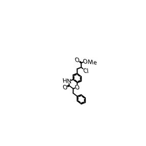 COC(=O)C(Cl)Cc1ccc2c(c1)NC(=O)C(Cc1ccccc1)O2